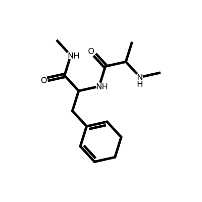 CNC(=O)C(CC1=CCCC=C1)NC(=O)C(C)NC